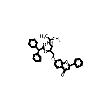 CC(C)NCC(COc1ccc2c(=O)cc(-c3ccccc3)oc2c1)OC(=O)C(c1ccccc1)c1ccccc1